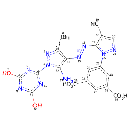 CC(C)(C)c1nn(-c2nc(O)nc(O)n2)c(N)c1/N=N/c1c(C#N)cnn1-c1cc(C(=O)O)cc(C(=O)O)c1